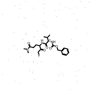 CC(C)[C@H](NC(=O)OCc1ccccc1)C(=O)NC(CCC(=O)N(C)C)C(=O)CF